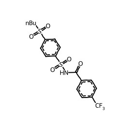 CCCCS(=O)(=O)c1ccc(S(=O)(=O)NC(=O)c2ccc(C(F)(F)F)cc2)cc1